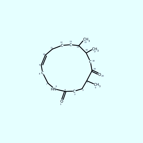 CC1CCC(=O)NCCC=CCCCC(C)C(C)CC1=O